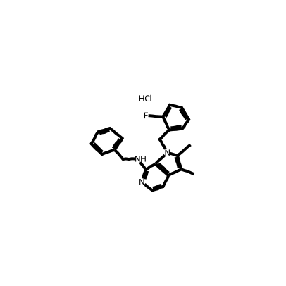 Cc1c(C)n(Cc2ccccc2F)c2c(NCc3ccccc3)nccc12.Cl